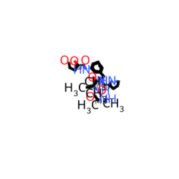 CN[C@@H](C)C(=O)N[C@H](C(=O)N(Cc1cccc(NC(=O)[C@H]2CCC(=O)O2)c1)C(=O)[C@@H]1CCCN1)C(C)(C)C